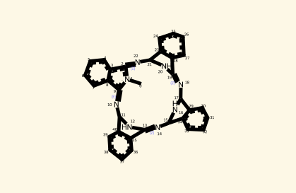 Cn1/c2c3ccccc3/c1=N\C1N/C(=N\C3NC(/N=C4\NC(/N=2)c2ccccc24)c2ccccc23)c2ccccc21